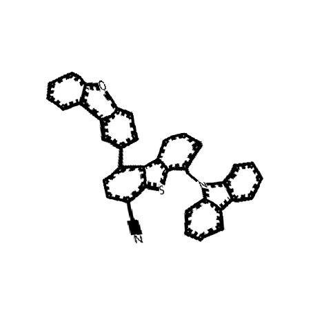 N#Cc1ccc(-c2ccc3oc4ccccc4c3c2)c2c1sc1c(-n3c4ccccc4c4ccccc43)cccc12